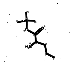 C[CH]CC(N)C(=O)OC(C)(C)C